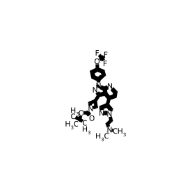 CN(C)CCn1cc(-c2ccnc3c2c(C2CN(C(=O)OC(C)(C)C)C2)nn3-c2ccc(OC(F)(F)F)cc2)cn1